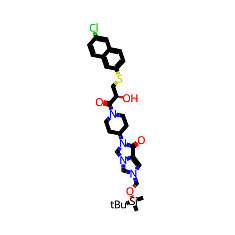 CC(C)(C)[Si](C)(C)OCN1C=C2C(=O)N(C3CCN(C(=O)[C@H](O)CSc4ccc5cc(Cl)ccc5c4)CC3)CN2C1